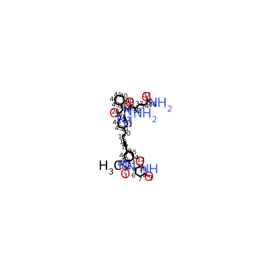 Cn1c(=O)n(C2CCC(=O)NC2=O)c2ccc(C#CCCC3CCN(C(=O)C(NC(=O)C(N)CCC(N)=O)C4CCCCC4)CC3)cc21